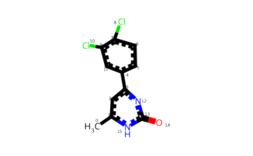 Cc1cc(-c2ccc(Cl)c(Cl)c2)nc(=O)[nH]1